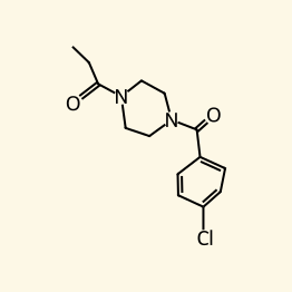 CCC(=O)N1CCN(C(=O)c2ccc(Cl)cc2)CC1